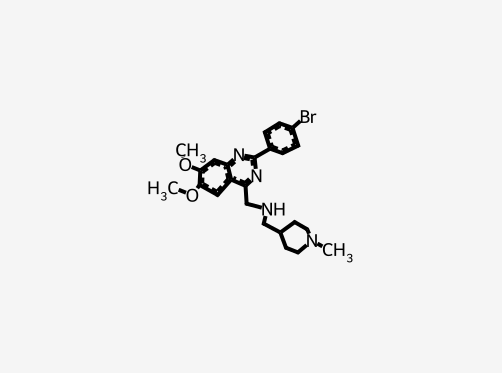 COc1cc2nc(-c3ccc(Br)cc3)nc(CNCC3CCN(C)CC3)c2cc1OC